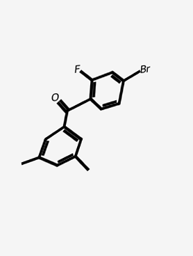 Cc1cc(C)cc(C(=O)c2ccc(Br)cc2F)c1